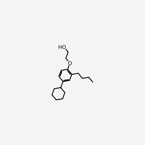 CCCCc1cc(C2CCCCC2)ccc1OCCO